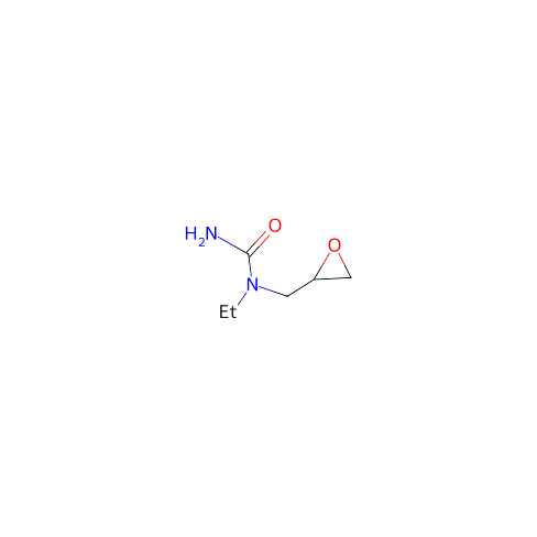 CCN(CC1CO1)C(N)=O